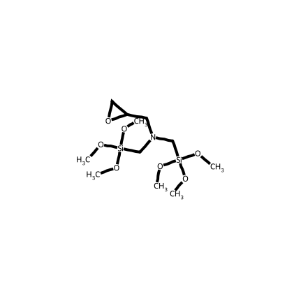 CO[Si](CN(CC1CO1)C[Si](OC)(OC)OC)(OC)OC